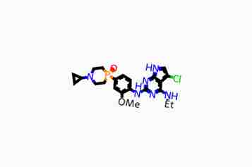 CCNc1nc(Nc2ccc(P3(=O)CCN(C4CC4)CC3)cc2OC)nc2[nH]cc(Cl)c12